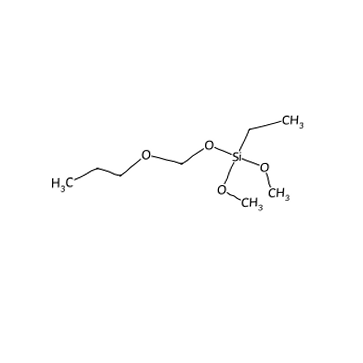 CCCOCO[Si](CC)(OC)OC